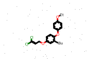 CCOc1ccc(Oc2ccc(OCC=C(Cl)Cl)cc2C(C)CC)cc1